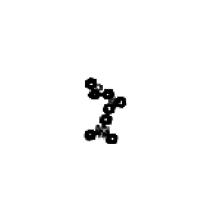 c1ccc(-c2nc(-c3ccccc3)nc(-c3ccc(-c4ccc5c(c4)c4ccccc4n5-c4cccc(-c5cccc6c5oc5ccccc56)c4)cc3)n2)cc1